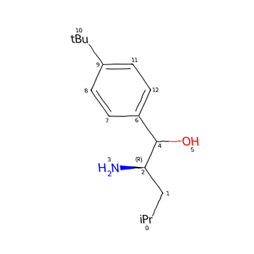 CC(C)C[C@@H](N)C(O)c1ccc(C(C)(C)C)cc1